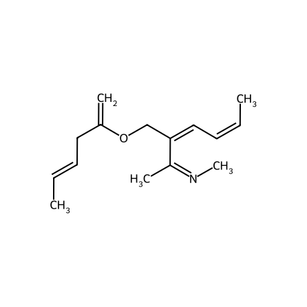 C=C(C/C=C/C)OCC(=C/C=C\C)/C(C)=N\C